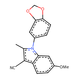 COc1ccc2c(C#N)c(C)n(-c3ccc4c(c3)OCO4)c2c1